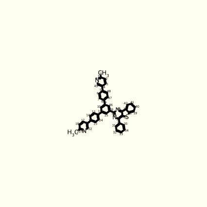 Cc1ccc(-c2ccc(-c3cc(-c4ccc(-c5ccc(C)nc5)cc4)cc(-c4nc(-c5ccccc5)c5sc6ccccc6c5n4)c3)cc2)cn1